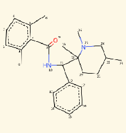 Cc1cccc(C)c1C(=O)NC(c1ccccc1)C1(C)CCC(C)CN1C